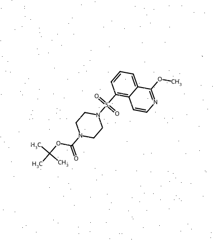 COc1nccc2c(S(=O)(=O)N3CCN(C(=O)OC(C)(C)C)CC3)cccc12